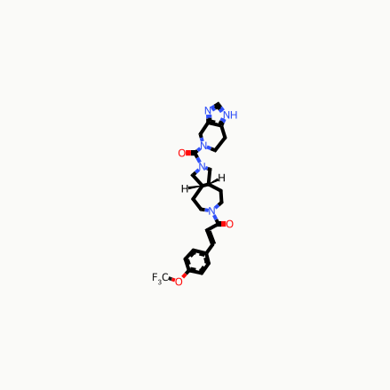 O=C(C=Cc1ccc(OC(F)(F)F)cc1)N1CC[C@@H]2CN(C(=O)N3CCc4[nH]cnc4C3)C[C@@H]2CC1